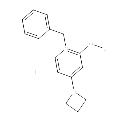 CCOc1cc(N2CCC2)cc[n+]1Cc1ccccc1.[Cl-]